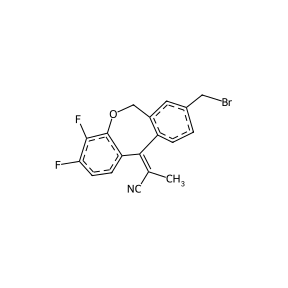 CC(C#N)=C1c2ccc(CBr)cc2COc2c1ccc(F)c2F